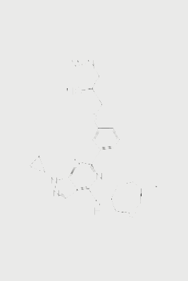 CNCC(O)COc1cccc(-c2nc(N[C@@H]3CC[C@H](I)COC3)c3cnn(C4CC4)c3n2)c1